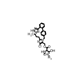 CCCCc1nc(Cl)c(COC(=O)C(NC)[C@@H](C)O)n1Cc1ccc(-c2ccccc2-c2nn[nH]n2)cc1